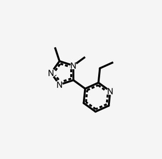 CCc1ncccc1-c1nnc(C)n1C